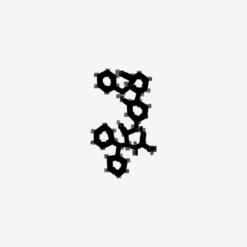 O=C(O)N[C@H](C(=O)Nc1ccc(-c2cccc(=O)n2Cc2ccccc2)c(F)c1)C(c1ccccc1)c1ccccc1